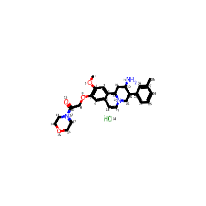 COc1cc2c(cc1OCC(=O)N1CCOCC1)CCN1CC(c3cccc(C)c3)C(N)CC21.Cl